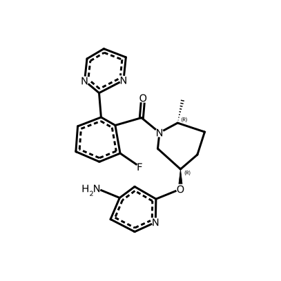 C[C@@H]1CC[C@@H](Oc2cc(N)ccn2)CN1C(=O)c1c(F)cccc1-c1ncccn1